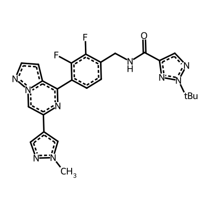 Cn1cc(-c2cn3nccc3c(-c3ccc(CNC(=O)c4cnn(C(C)(C)C)n4)c(F)c3F)n2)cn1